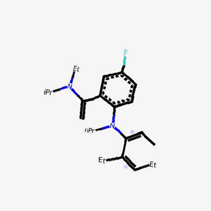 C=C(c1cc(F)ccc1N(CCC)C(=C/C)/C(=C\CC)CC)N(CC)C(C)C